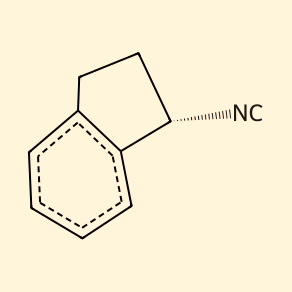 [C-]#[N+][C@H]1CCc2ccccc21